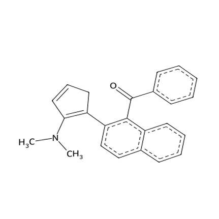 CN(C)C1=C(c2ccc3ccccc3c2C(=O)c2ccccc2)CC=C1